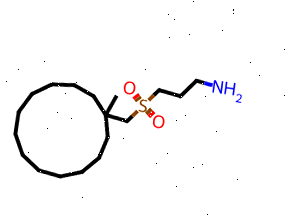 CC1(CS(=O)(=O)CCCN)CCCCCCCCCCCC1